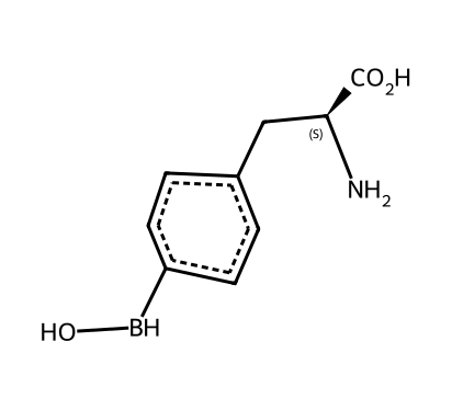 N[C@@H](Cc1ccc(BO)cc1)C(=O)O